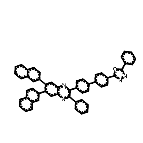 c1ccc(-c2nnc(-c3ccc(-c4ccc(-c5nc6cc(-c7ccc8ccccc8c7)c(-c7ccc8ccccc8c7)cc6nc5-c5ccccc5)cc4)cc3)o2)cc1